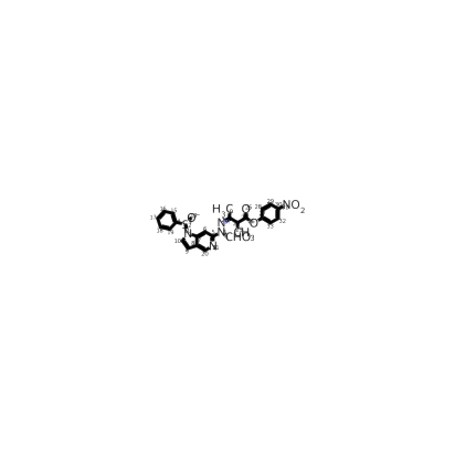 C/C(=N/N(C=O)c1cc2c(ccn2[S+]([O-])c2ccccc2)cn1)C(C)C(=O)Oc1ccc([N+](=O)[O-])cc1